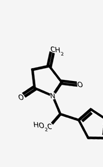 C=C1CC(=O)N(C(C(=O)O)C2=CC=CC2)C1=O